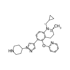 C[C@H]1CCc2c(ccc(-c3cnn(C4CCNCC4)c3)c2Oc2ccccn2)N1[C]C1CC1